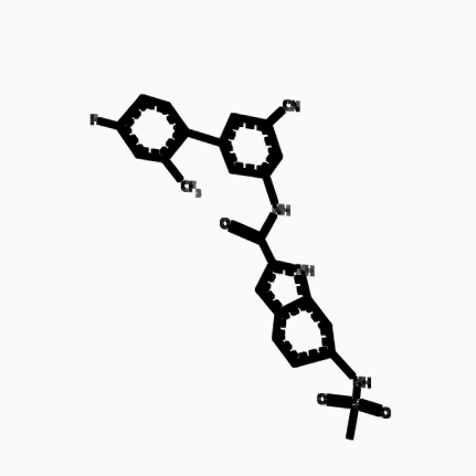 CS(=O)(=O)Nc1ccc2cc(C(=O)Nc3cc(C#N)cc(-c4ccc(F)cc4C(F)(F)F)c3)[nH]c2c1